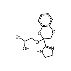 CCC(O)COC1(C2=NCCN2)COc2ccccc2O1